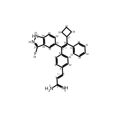 N=C(N)/C=C/c1ccc(/C(=C(\c2ccccc2)C2CCC2)c2ccc3[nH]nc(F)c3c2)cc1